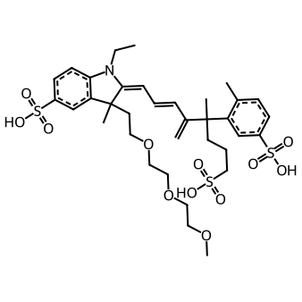 C=C(/C=C/C=C1/N(CC)c2ccc(S(=O)(=O)O)cc2C1(C)CCOCCOCCOC)C(C)(CCCS(=O)(=O)O)c1cc(S(=O)(=O)O)ccc1C